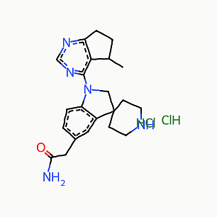 CC1CCc2ncnc(N3CC4(CCNCC4)c4cc(CC(N)=O)ccc43)c21.Cl.Cl